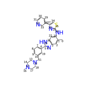 Cc1cc2nc(-c3cccc(CN4CCN(C)CC4)c3)[nH]c2cc1Nc1nc(-c2cccnc2)cs1